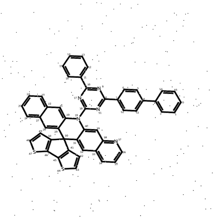 c1ccc(-c2ccc(-c3nc(-c4ccccc4)nc(N4c5cc6ccccc6cc5C5(c6cc7cccnc7cc64)c4ccsc4-c4sccc45)n3)cc2)cc1